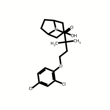 CC(C)(CCOc1ccc(Cl)cc1Cl)C(=O)N1C2CCC1CC(O)C2